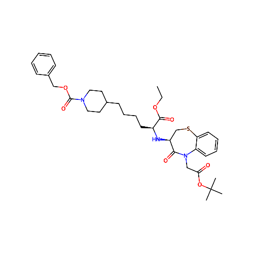 CCOC(=O)[C@H](CCCCC1CCN(C(=O)OCc2ccccc2)CC1)N[C@H]1CSc2ccccc2N(CC(=O)OC(C)(C)C)C1=O